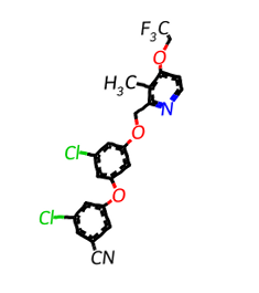 Cc1c(OCC(F)(F)F)ccnc1COc1cc(Cl)cc(Oc2cc(Cl)cc(C#N)c2)c1